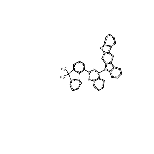 CC1(C)c2ccccc2-c2c(-c3nc(-n4c5ccccc5c5cc6c(cc54)oc4ccccc46)c4ccccc4n3)cccc21